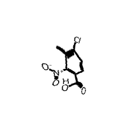 Cc1c(Cl)ccc(C(=O)O)c1[N+](=O)[O-]